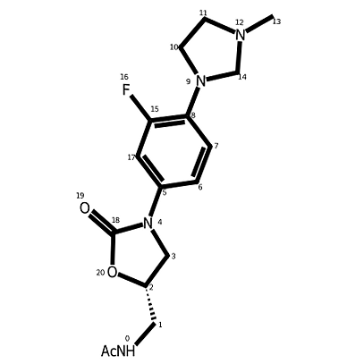 CC(=O)NC[C@H]1CN(c2ccc(N3CCN(C)C3)c(F)c2)C(=O)O1